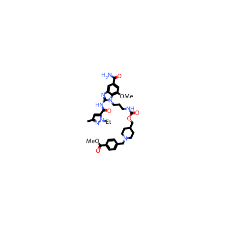 CCn1nc(C)cc1C(=O)Nc1nc2cc(C(N)=O)cc(OC)c2n1CCCNC(=O)OCC1CCN(Cc2ccc(C(=O)OC)cc2)CC1